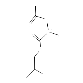 CC(=O)ON(C)C(=S)NCC(C)C